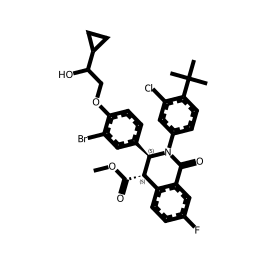 COC(=O)[C@H]1c2ccc(F)cc2C(=O)N(c2ccc(C(C)(C)C)c(Cl)c2)[C@@H]1c1ccc(OCC(O)C2CC2)c(Br)c1